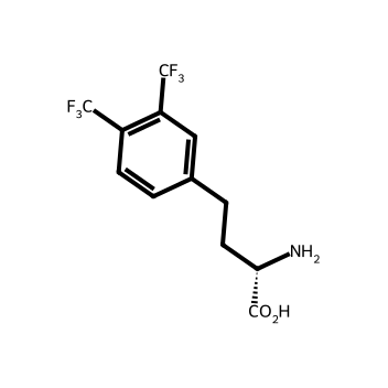 N[C@@H](CCc1ccc(C(F)(F)F)c(C(F)(F)F)c1)C(=O)O